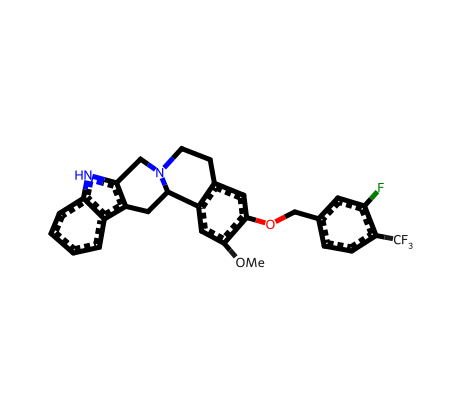 COc1cc2c(cc1OCc1ccc(C(F)(F)F)c(F)c1)CCN1Cc3[nH]c4ccccc4c3CC21